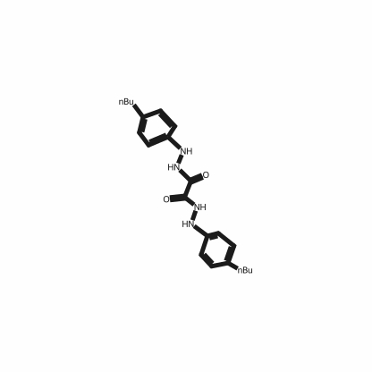 CCCCc1ccc(NNC(=O)C(=O)NNc2ccc(CCCC)cc2)cc1